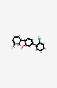 ClC1=CC=CC2c3ccc(-c4ccccc4Br)cc3OC12